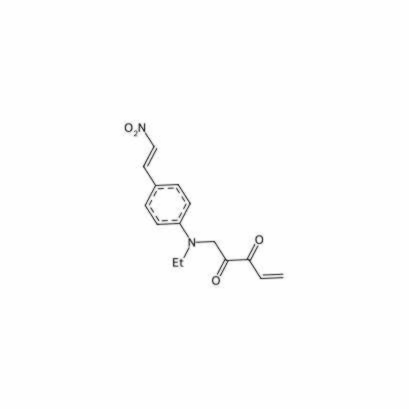 C=CC(=O)C(=O)CN(CC)c1ccc(C=C[N+](=O)[O-])cc1